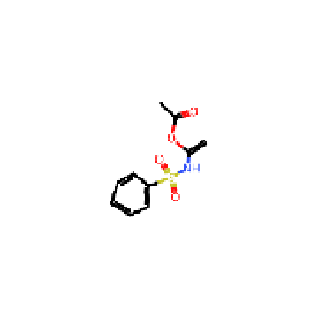 C=C(NS(=O)(=O)c1ccccc1)OC(C)=O